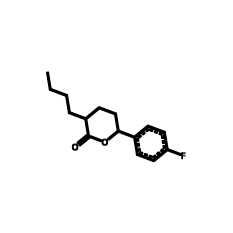 CCCCC1CCC(c2ccc(F)cc2)OC1=O